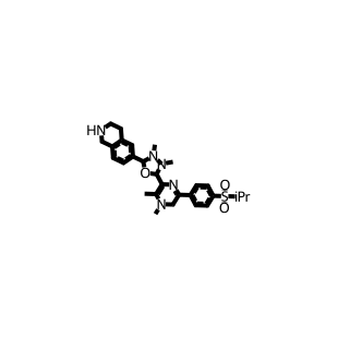 CC1=C(C2OC(c3ccc4c(c3)CCNC4)N(C)N2C)N=C(c2ccc(S(=O)(=O)C(C)C)cc2)CN1C